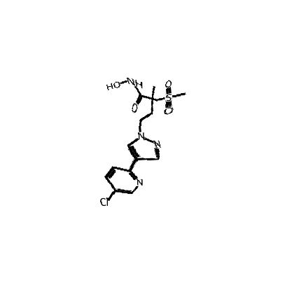 CC(CCn1cc(-c2ccc(Cl)cn2)cn1)(C(=O)NO)S(C)(=O)=O